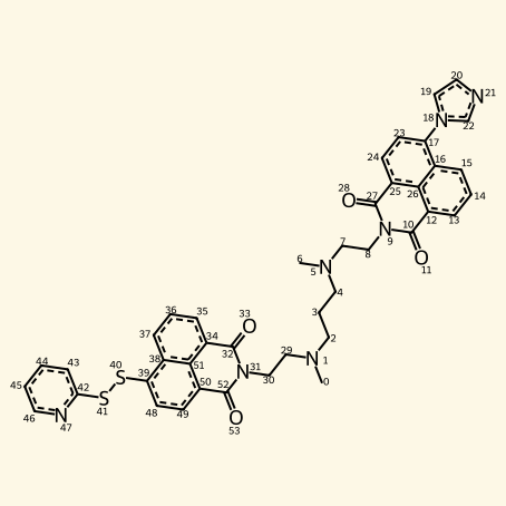 CN(CCCN(C)CCN1C(=O)c2cccc3c(-n4ccnc4)ccc(c23)C1=O)CCN1C(=O)c2cccc3c(SSc4ccccn4)ccc(c23)C1=O